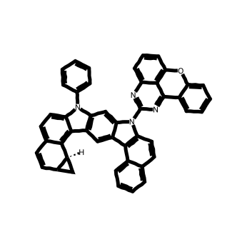 C1=CC2C[C@@H]2c2c1ccc1c2c2cc3c4c5ccccc5ccc4n(-c4nc5c6c(cccc6n4)Oc4ccccc4-5)c3cc2n1-c1ccccc1